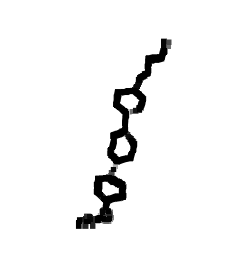 CCCOc1ccc([C@H]2CC[C@H]([C@H]3CC[C@H](CC/C=C/F)CC3)CC2)cc1